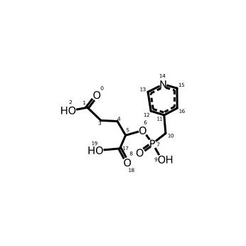 O=C(O)CCC(OP(=O)(O)Cc1ccncc1)C(=O)O